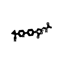 CC(=O)NC[C@H]1CN(c2ccc(-c3ccc(C4(C#N)CC4)cn3)cc2)C(=O)O1